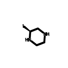 I[C@H]1CNCCN1